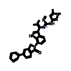 C=N/C(=N\C(=C(C)C)c1c[nH]c2c(N3Cc4cc(-c5ccccc5)ccc4C3=O)cccc12)Nc1cc(C)n(C)n1